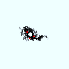 CC[C@H]1OC(=O)[C@H](C)C(=O)[C@H](C)[C@@H](O[C@@H]2O[C@H](C)CC(N(C)C)C2O)[C@](C)(OC)C[C@@H](C)CN[C@H](C)[C@H]2N(CCCCn3cc(-c4ncc(N)s4)nn3)C(=O)O[C@]12C